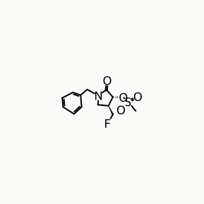 CS(=O)(=O)O[C@H]1C(=O)N(Cc2ccccc2)C[C@@H]1CF